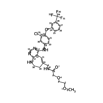 COCCOCC(=O)NCC1=Cc2c(ncnc2Nc2ccc(Oc3cccc(C(F)(F)F)c3)c(Cl)c2)NCC1